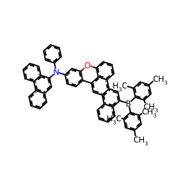 Cc1cc(C)c(B(c2c(C)cc(C)cc2C)c2cc3c4cccc5c4c(cc3c3ccccc23)-c2ccc(N(c3ccccc3)c3cc4ccccc4c4ccccc34)cc2O5)c(C)c1